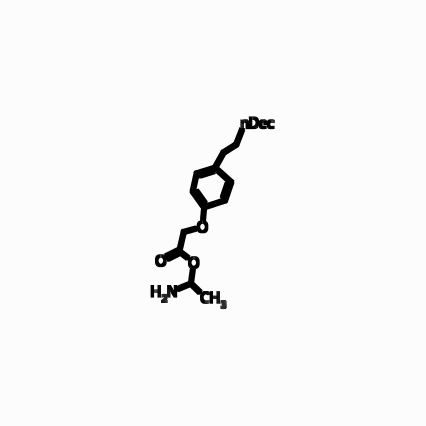 CCCCCCCCCCCCc1ccc(OCC(=O)OC(C)N)cc1